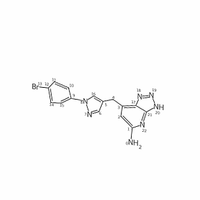 Nc1cc(Cc2cnn(-c3ccc(Br)cc3)c2)c2nn[nH]c2n1